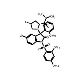 COc1ccc(S(=O)(=O)N2C(=O)C(c3ccccc3OC)(N3C[C@@H](F)C[C@H]3C(=O)N(C)C)c3cc(Cl)ccc32)c(OC)c1